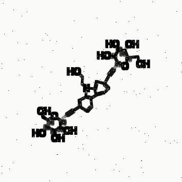 OCCn1c2cc(C#C[C@H]3O[C@H](CO)[C@@H](O)[C@H](O)[C@@H]3O)ccc2c2ccc(C#C[C@H]3O[C@H](CO)[C@@H](O)[C@H](O)[C@@H]3O)cc21